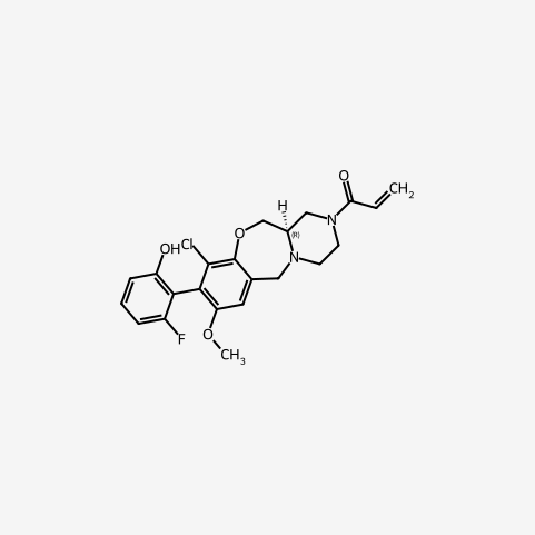 C=CC(=O)N1CCN2Cc3cc(OC)c(-c4c(O)cccc4F)c(Cl)c3OC[C@H]2C1